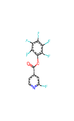 O=C(Oc1c(F)c(F)c(F)c(F)c1F)c1ccnc(F)c1